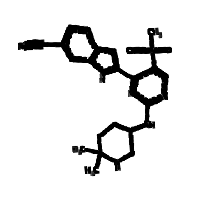 CC1(C)CCC(Nc2ncc(S(C)(=O)=O)c(-c3cc4ccc(C#N)cc4[nH]3)n2)CN1